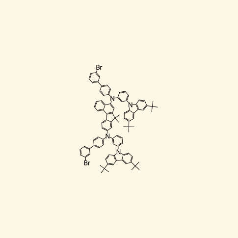 CC(C)(C)c1ccc2c(c1)c1cc(C(C)(C)C)ccc1n2-c1cccc(N(c2ccc(-c3cccc(Br)c3)cc2)c2ccc3c(c2)C(C)(C)c2cc(N(c4ccc(-c5cccc(Br)c5)cc4)c4cccc(-n5c6ccc(C(C)(C)C)cc6c6cc(C(C)(C)C)ccc65)c4)c4ccccc4c2-3)c1